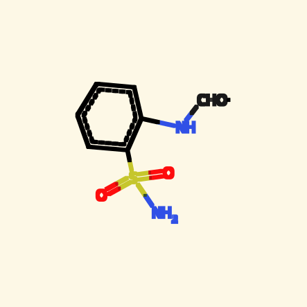 NS(=O)(=O)c1ccccc1N[C]=O